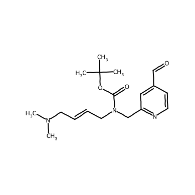 CN(C)CC=CCN(Cc1cc(C=O)ccn1)C(=O)OC(C)(C)C